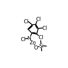 C[Si](C)(C)[O][Zn][N](Cl)c1cc(Cl)c(Cl)c(Cl)c1Cl